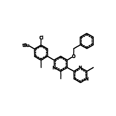 Cc1nccc(-c2c(OCc3ccccc3)cc(-c3cc(Cl)c(C(C)(C)C)cc3C)nc2C)n1